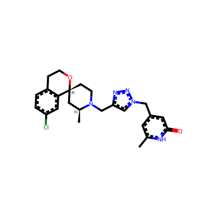 Cc1cc(Cn2cc(CN3CC[C@]4(C[C@@H]3C)OCCc3ccc(Cl)cc34)nn2)cc(=O)[nH]1